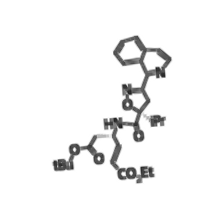 CCOC(=O)C=C[C@H](CC(=O)OC(C)(C)C)NC(=O)[C@]1(C(C)C)CC(c2nccc3ccccc23)=NO1